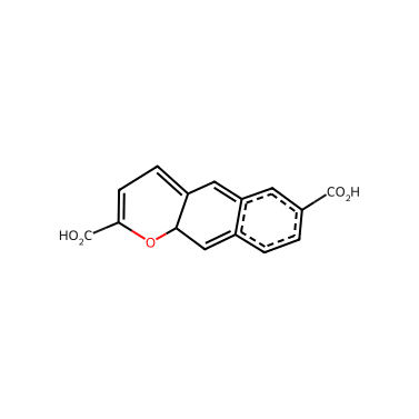 O=C(O)C1=CC=C2C=c3cc(C(=O)O)ccc3=CC2O1